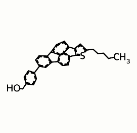 CCCCCc1cc2c(s1)-c1ccc3c4c(ccc-2c14)-c1ccc(-c2ccc(CO)cc2)cc1-3